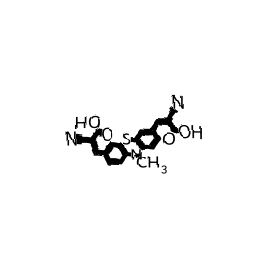 CN1c2ccc(C=C(C#N)C(=O)O)cc2Sc2cc(C=C(C#N)C(=O)O)ccc21